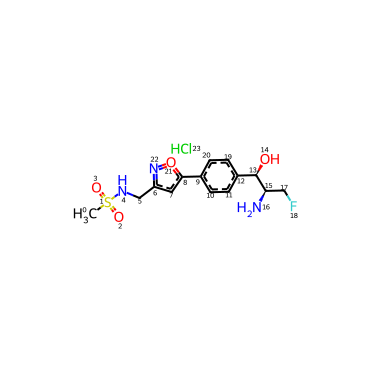 CS(=O)(=O)NCc1cc(-c2ccc([C@@H](O)[C@H](N)CF)cc2)on1.Cl